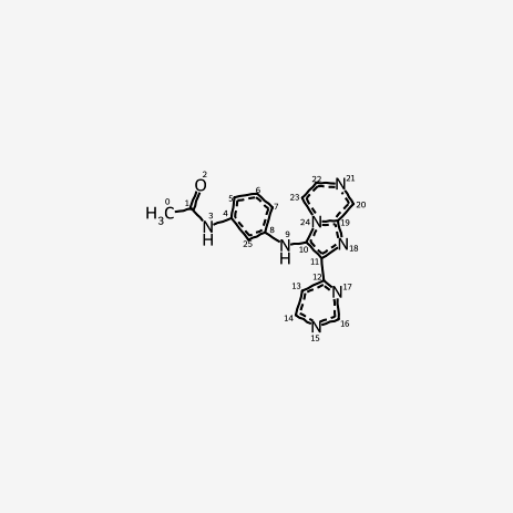 CC(=O)Nc1cccc(Nc2c(-c3ccncn3)nc3cnccn23)c1